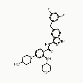 O=C(Nc1n[nH]c2ccc(Cc3cc(F)cc(F)c3)cc12)c1ccc(N2CCC(O)CC2)cc1NC1CCOCC1